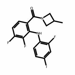 CC1CN(C(=O)c2ccc(F)c(F)c2Nc2ccc(I)cc2F)C1